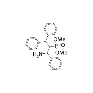 COP(=O)(OC)C(C(N)c1ccccc1)C(c1ccccc1)c1ccccc1